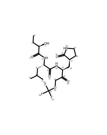 CC[C@@H](O)C(=O)N[C@@H](CC(C)C)C(=O)N[C@@H](C[C@@H]1CCNC1=O)C(=O)COC(F)(F)F